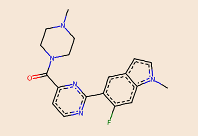 CN1CCN(C(=O)c2ccnc(-c3cc4ccn(C)c4cc3F)n2)CC1